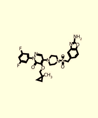 CC1(COc2c(N3CCN(S(=O)(=O)Cc4ccc5oc(N)nc5c4)CC3)cnn(-c3cc(F)cc(F)c3)c2=O)CC1